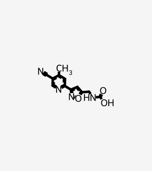 Cc1cc(-c2cc(CNC(=O)O)on2)ncc1C#N